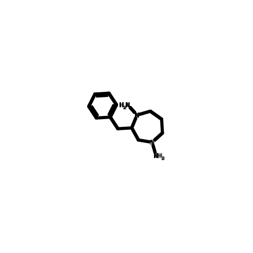 NN1CCCN(N)C(Cc2ccccc2)C1